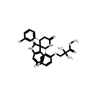 COC(=O)C(C)(C)COc1ccc(Br)cc1[C@H]1NC(=O)C[C@@H](c2cccc(Cl)c2)C12C(=O)Nc1cc(Cl)ccc12